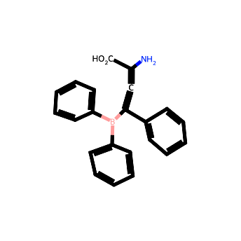 NC(=C=C(B(c1ccccc1)c1ccccc1)c1ccccc1)C(=O)O